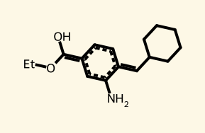 CCO/C(O)=c1/cc/c(=C\C2CCCCC2)c(N)c1